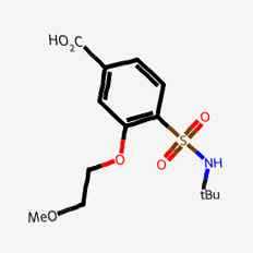 COCCOc1cc(C(=O)O)ccc1S(=O)(=O)NC(C)(C)C